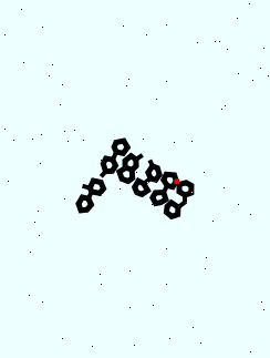 Cc1ccc(-c2ccccc2)cc1.Cc1ccc2ccccc2c1.Cc1cccc(-c2ccccc2)c1.Cc1ccccc1-c1ccccc1.c1ccc(-c2ccccc2)cc1.c1ccc(Cc2ccccc2)cc1